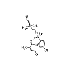 CC(=CC=O)C(=O)O.C[N+](C)(C#P=O)CCO.O=[N+]([O-])c1ccc(O)cc1